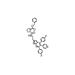 O=C(NCCn1cc2c(-c3ccc(F)cc3)c(-c3ccncc3)c(-c3ccc(F)cc3)nc2n1)C1CCCN1C(=O)OCc1ccccc1